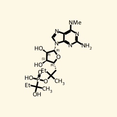 CCC(C)(C[C@H]1O[C@@H](n2cnc3c(NC)nc(N)nc32)[C@H](O)[C@@H]1O)OP(=O)(O)C(C)(O)CC